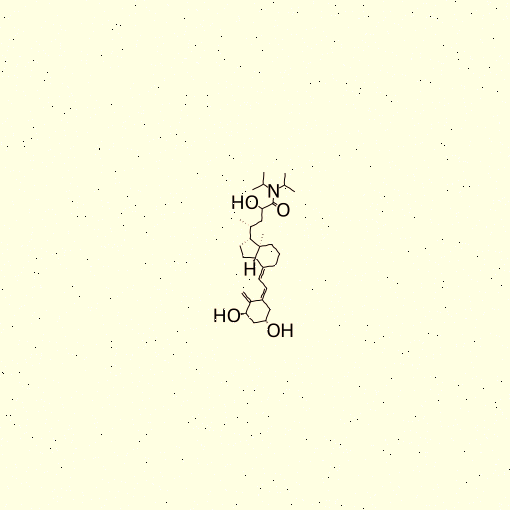 C=C1/C(=C\C=C2CCC[C@]3(C)[C@@H]([C@H](C)CC(O)C(=O)N(C(C)C)C(C)C)CC[C@@H]23)C[C@H](O)C[C@H]1O